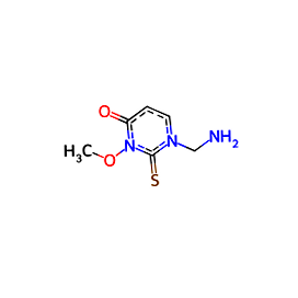 COn1c(=O)ccn(CN)c1=S